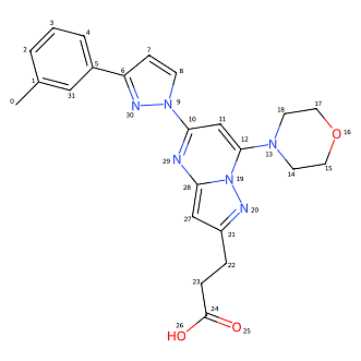 Cc1cccc(-c2ccn(-c3cc(N4CCOCC4)n4nc(CCC(=O)O)cc4n3)n2)c1